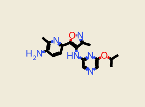 Cc1nc(-c2onc(C)c2Nc2cncc(OC(C)C)n2)ccc1N